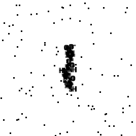 CN1C[C@@H](S)C[C@H]1C(=O)N1CC[C@H](NC(=N)CC(=O)OCc2ccc([N+](=O)[O-])cc2)C1